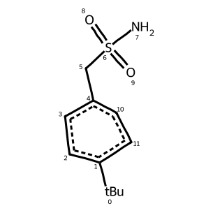 CC(C)(C)c1ccc(CS(N)(=O)=O)cc1